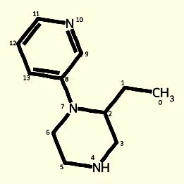 CCC1CNCCN1c1[c]nccc1